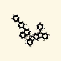 c1ccc(-c2ccc(-c3ccc(-n4c5ccccc5c5cc6c7ccccc7n(-c7ccccc7)c6cc54)c4ccccc34)cc2)cc1